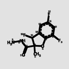 CC1(C(=O)NN)Oc2c(F)cc(F)cc2C1F